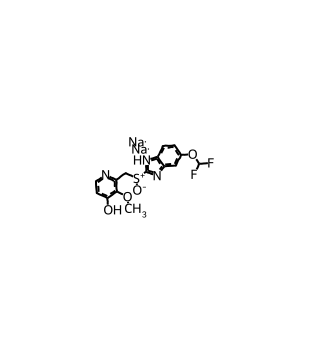 COc1c(O)ccnc1C[S+]([O-])c1nc2cc(OC(F)F)ccc2[nH]1.[Na].[Na]